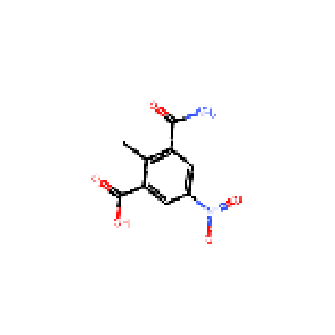 Cc1c(C(N)=O)cc([N+](=O)[O-])cc1C(=O)O